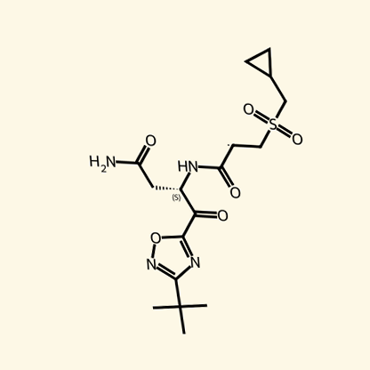 CC(C)(C)c1noc(C(=O)[C@H](CC(N)=O)NC(=O)[CH]CS(=O)(=O)CC2CC2)n1